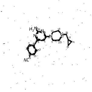 N#Cc1ccc(-c2cc(N3CCN(CC4CC4)CC3)nc(N)n2)cc1